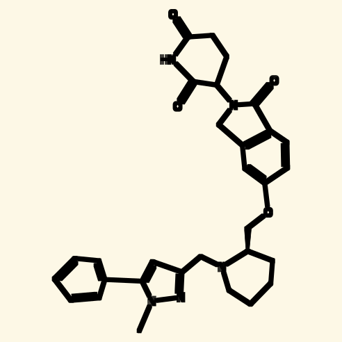 Cn1nc(CN2CCCC[C@@H]2COc2ccc3c(c2)CN(C2CCC(=O)NC2=O)C3=O)cc1-c1ccccc1